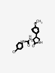 COc1ccc(C2CNC(=O)[C@@H]2NC(=O)Nc2ccc(Cl)cc2)cc1